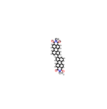 CN1C(=O)c2ccc3c4cccc5c(-c6ccc7c8ccc9c%10c(ccc(c%11cccc6c%117)c%108)C(=O)N(C)C9=O)ccc(c6ccc(c2c36)C1=O)c54